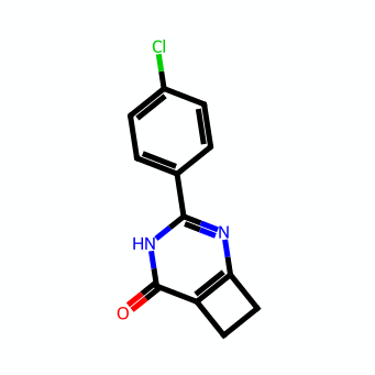 O=c1[nH]c(-c2ccc(Cl)cc2)nc2c1CC2